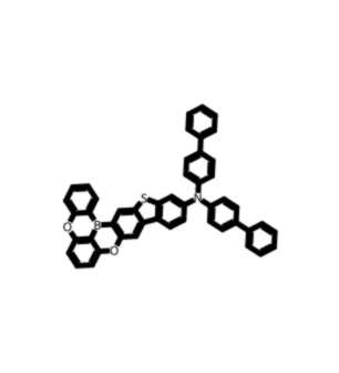 c1ccc(-c2ccc(N(c3ccc(-c4ccccc4)cc3)c3ccc4c(c3)sc3cc5c(cc34)Oc3cccc4c3B5c3ccccc3O4)cc2)cc1